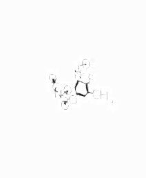 Cc1cc(OS(=O)(=O)N=C=O)cc(N=C=O)c1F